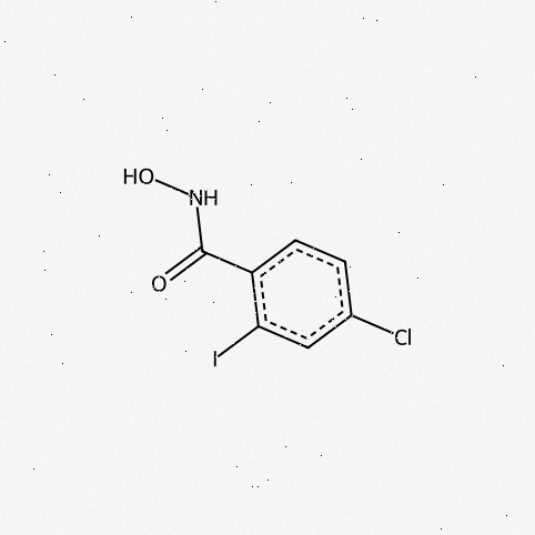 O=C(NO)c1ccc(Cl)cc1I